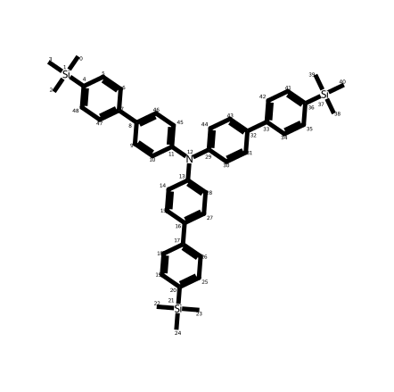 C[Si](C)(C)c1ccc(-c2ccc(N(c3ccc(-c4ccc([Si](C)(C)C)cc4)cc3)c3ccc(-c4ccc([Si](C)(C)C)cc4)cc3)cc2)cc1